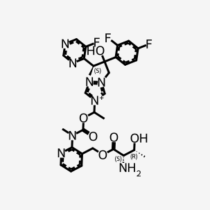 CC(OC(=O)N(C)c1ncccc1COC(=O)[C@@H](N)[C@@H](C)O)[n+]1cnn(CC(O)(c2ccc(F)cc2F)[C@@H](C)c2ncncc2F)c1